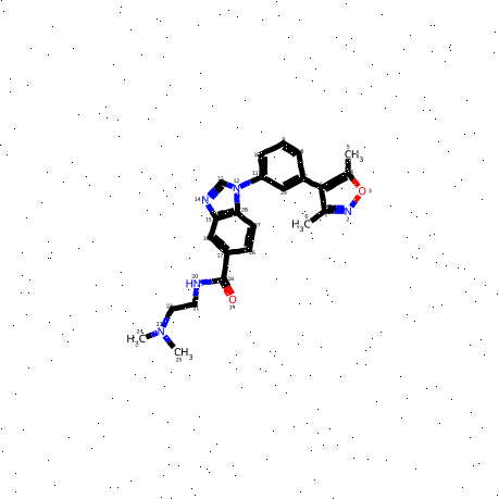 Cc1noc(C)c1-c1cccc(-n2cnc3cc(C(=O)NCCN(C)C)ccc32)c1